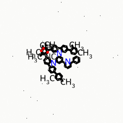 Cc1ccc(-c2ccc3c4ccc(-c5ccc(C)cc5C)cc4n(-c4cc(-c5cccc(-c6ccccc6)n5)cc(-n5c6cc(-c7ccc(C)cc7C)ccc6c6ccc(-c7ccc(C)cc7C)cc65)c4C#N)c3c2)c(C)c1